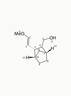 COC=C[C@@H]1C(CO)[C@@H]2CC[C@H]1C2